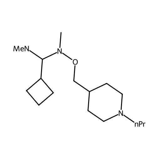 CCCN1CCC(CON(C)C(NC)C2CCC2)CC1